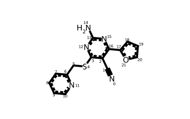 N#Cc1c(SCc2ccccn2)nc(N)nc1-c1ccco1